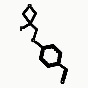 O=Cc1ccc(OCC2(F)COC2)cc1